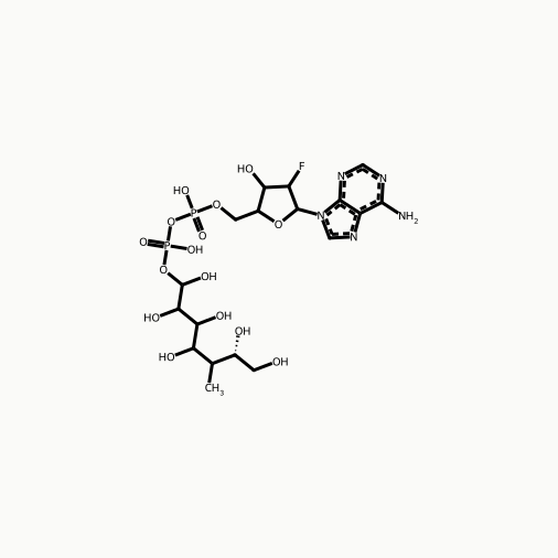 CC(C(O)C(O)C(O)C(O)OP(=O)(O)OP(=O)(O)OCC1OC(n2cnc3c(N)ncnc32)C(F)C1O)[C@H](O)CO